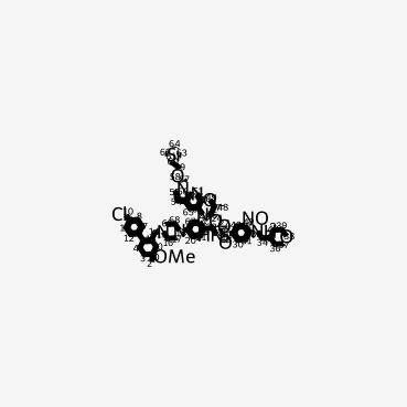 COC1(C)CCC(c2ccc(Cl)cc2)=C(CN2CCN(c3ccc(C(=O)NS(=O)(=O)c4ccc(NCC5CCOCC5)c([N+](=O)[O-])c4)c(N4C[C@@H](C)Oc5nc6c(ccn6COCC[Si](C)(C)C)cc54)c3)CC2)C1